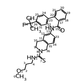 COCCCNC(=S)N1CCc2cc(NC(=O)c3ccccc3-c3ccc(C(C)(C)F)cc3)ccc2C1